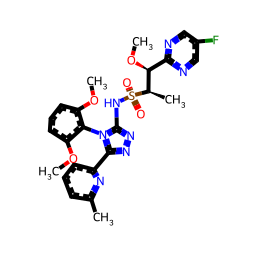 COc1cccc(OC)c1-n1c(NS(=O)(=O)[C@H](C)[C@@H](OC)c2ncc(F)cn2)nnc1-c1cccc(C)n1